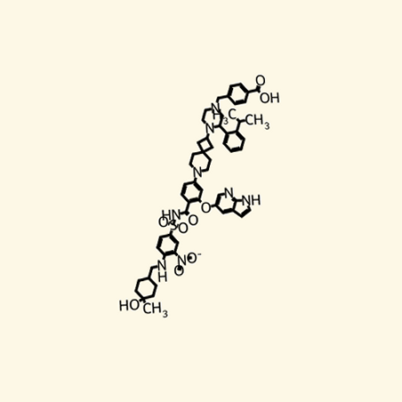 CC(C)c1ccccc1C1CN(Cc2ccc(C(=O)O)cc2)CCN1C1CC2(CCN(c3ccc(C(=O)NS(=O)(=O)c4ccc(NCC5CCC(C)(O)CC5)c([N+](=O)[O-])c4)c(Oc4cnc5[nH]ccc5c4)c3)CC2)C1